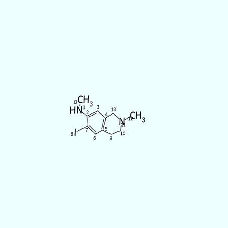 CNc1cc2c(cc1I)CCN(C)C2